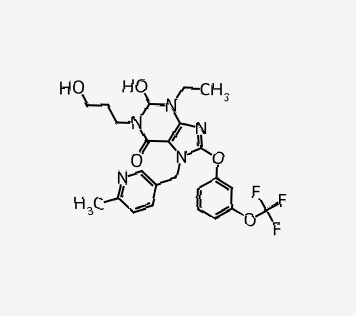 CCN1c2nc(Oc3cccc(OC(F)(F)F)c3)n(Cc3ccc(C)nc3)c2C(=O)N(CCCO)C1O